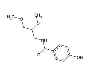 COCC(CNC(=O)c1ccc(O)cc1)OC